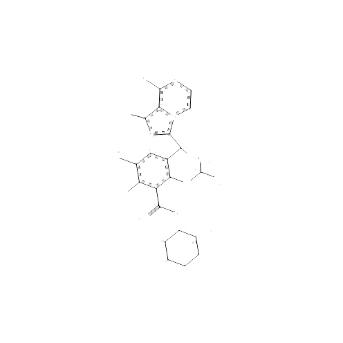 Cc1nc([C@@](C)(O)c2cc(Cl)c(F)c(C(=O)N[C@H]3CCCC[C@H]3O)c2OC(C)C)n2ccnc(N)c12